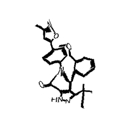 COCc1ccccc1C1c2c(C(C)(C)C)n[nH]c2C(=O)N1c1ccc(-c2cc(C)no2)cc1